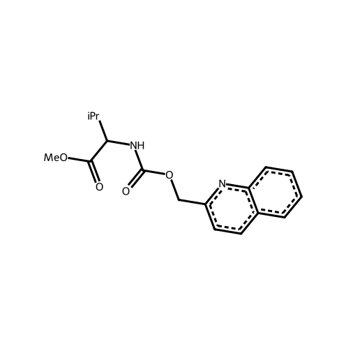 COC(=O)C(NC(=O)OCc1ccc2ccccc2n1)C(C)C